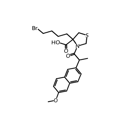 COc1ccc2cc(C(C)C(=O)N3CSCC3(CCCCBr)C(=O)O)ccc2c1